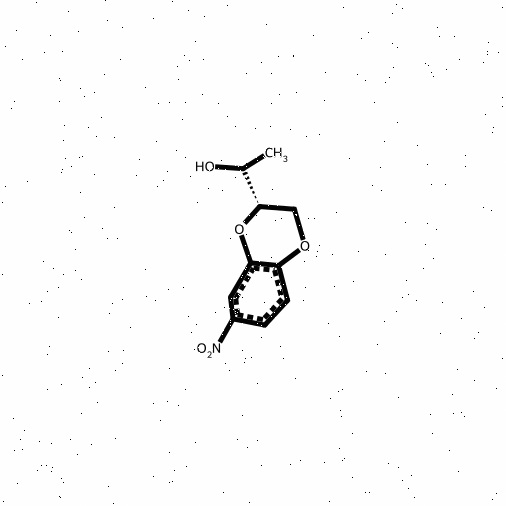 CC(O)[C@@H]1COc2ccc([N+](=O)[O-])cc2O1